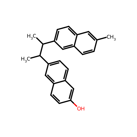 Cc1ccc2cc(C(C)C(C)c3ccc4cc(O)ccc4c3)ccc2c1